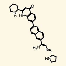 N/C(=C\N=C\[C@@H]1CCCN1)c1ccc2cc(-c3ccc4c(=O)cc(C5CCCCN5)[nH]c4c3)ccc2c1